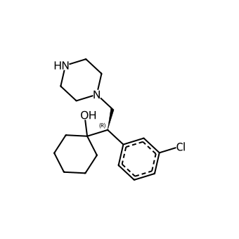 OC1([C@@H](CN2CCNCC2)c2cccc(Cl)c2)CCCCC1